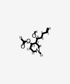 C=CCCC(OC)C1CN(C)CCC1OC(C)=O